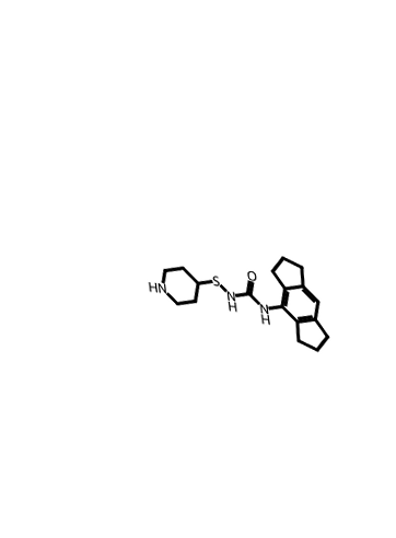 O=C(NSC1CCNCC1)Nc1c2c(cc3c1CCC3)CCC2